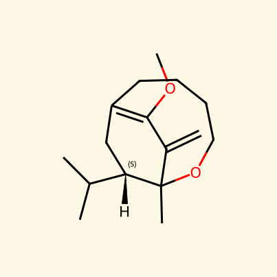 C=C1C(OC)=C2CCCCOC1(C)[C@H](C(C)C)C2